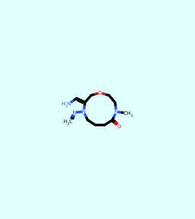 C=NN1CCCC(=O)N(C)CCOC/C1=C/N